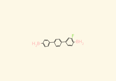 Bc1ccc(-c2ccc(-c3ccc(B)c(F)c3)cc2)cc1